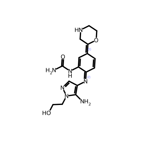 NC(=O)NC1=CC(=C2\CNCCO2)/C=CC/1=N/c1cnn(CCO)c1N